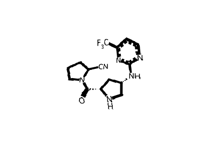 N#CC1CCCN1C(=O)[C@@H]1C[C@H](Nc2nccc(C(F)(F)F)n2)CN1